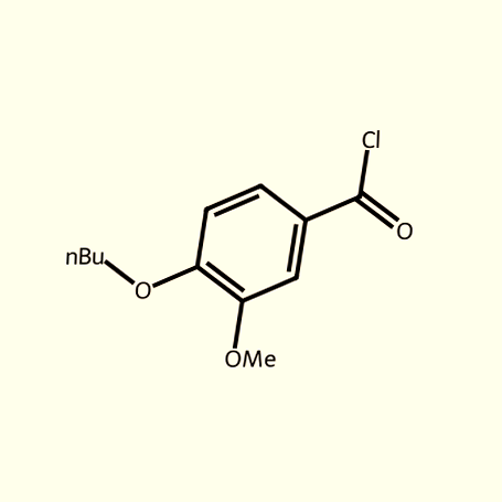 CCCCOc1ccc(C(=O)Cl)cc1OC